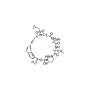 CC(C)[C@@H]1NC(=O)CCN(S(=O)(=O)CC2CC2)CC/C=C/c2ccc3ccc(nc3c2)[C@@H](C)OC(O)[C@@H]2CCCN(N2)C(=O)[C@H](C)NC1=O